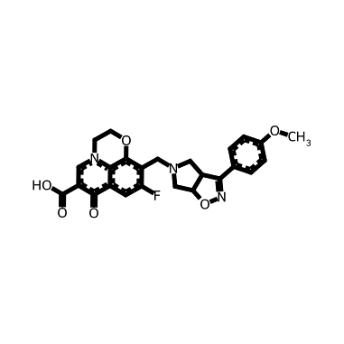 COc1ccc(C2=NOC3CN(Cc4c(F)cc5c(=O)c(C(=O)O)cn6c5c4OCC6)CC23)cc1